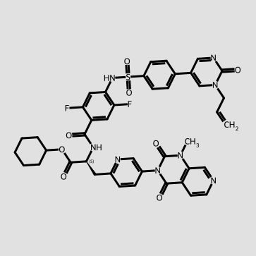 C=CCn1cc(-c2ccc(S(=O)(=O)Nc3cc(F)c(C(=O)N[C@@H](Cc4ccc(-n5c(=O)c6ccncc6n(C)c5=O)cn4)C(=O)OC4CCCCC4)cc3F)cc2)cnc1=O